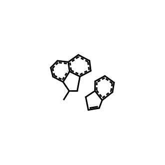 C1=Cc2ccccc2C1.CC1Cc2cccc3cccc1c23